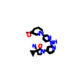 CO[C@H]1CCCN(c2ccc(Nc3cc(N4CC[C@@](C#N)(C5CC5)C4=O)ccn3)nc2)C1